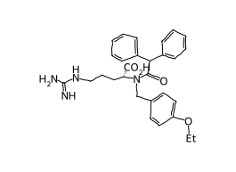 CCOc1ccc(CN(C(=O)C(c2ccccc2)c2ccccc2)[C@H](CCCNC(=N)N)C(=O)O)cc1